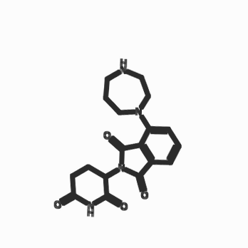 O=C1CCC(N2C(=O)c3cccc(N4CCCNCC4)c3C2=O)C(=O)N1